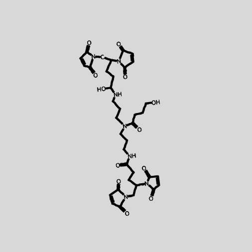 O=C(CCC(CN1C(=O)C=CC1=O)N1C(=O)C=CC1=O)NCCCN(CCCNC(O)CCC(CN1C(=O)C=CC1=O)N1C(=O)C=CC1=O)C(=O)CCCO